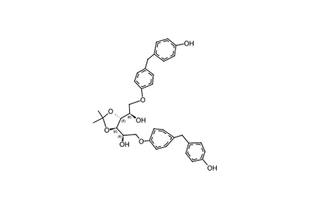 CC1(C)O[C@H]([C@H](O)COc2ccc(Cc3ccc(O)cc3)cc2)[C@@H]([C@H](O)COc2ccc(Cc3ccc(O)cc3)cc2)O1